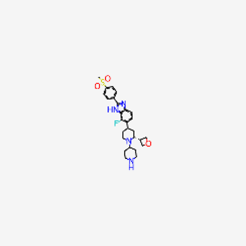 CS(=O)(=O)c1ccc(-c2nc3ccc(C4CCN(C5CCNCC5)[C@@H](C5COC5)C4)c(F)c3[nH]2)cc1